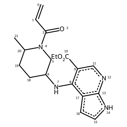 C=CC(=O)N1CC(Nc2c(C(=O)OCC)cnc3[nH]ccc23)CCC1C